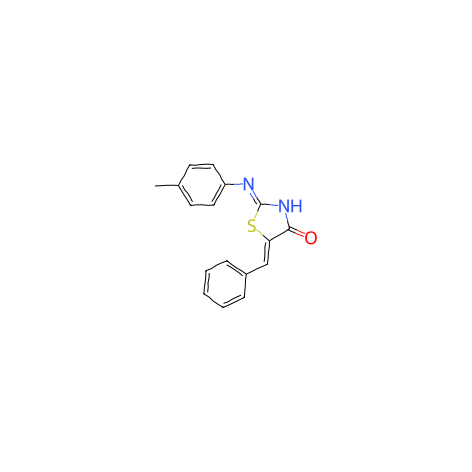 Cc1ccc(N=C2NC(=O)C(=Cc3ccccc3)S2)cc1